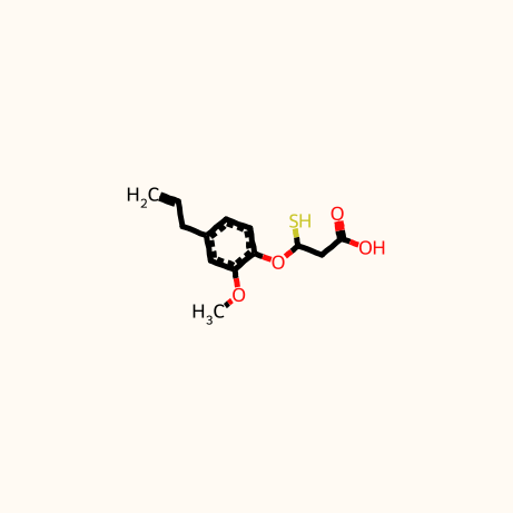 C=CCc1ccc(OC(S)CC(=O)O)c(OC)c1